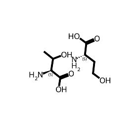 CC(O)[C@H](N)C(=O)O.N[C@@H](CCO)C(=O)O